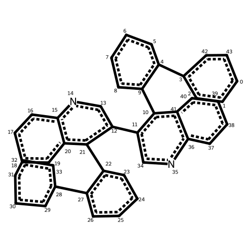 c1ccc(-c2ccccc2-c2c(-c3cnc4ccccc4c3-c3ccccc3-c3ccccc3)cnc3ccccc23)cc1